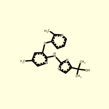 Cc1ncccc1Oc1cc(C(F)(F)F)cnc1Nc1nc(C(C)(C)O)cs1